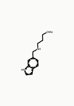 COCCCNCc1ccc2[c]c[nH]c2c1